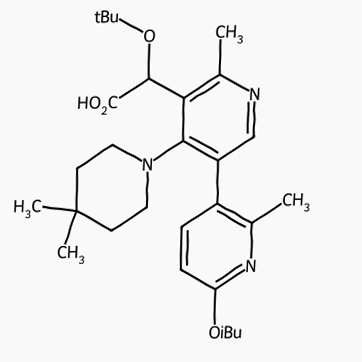 Cc1nc(OCC(C)C)ccc1-c1cnc(C)c(C(OC(C)(C)C)C(=O)O)c1N1CCC(C)(C)CC1